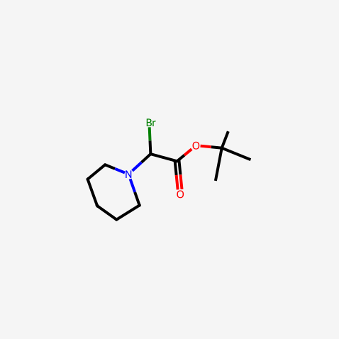 CC(C)(C)OC(=O)C(Br)N1CCCCC1